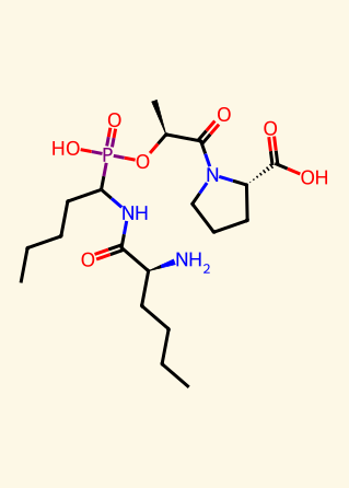 CCCCC(NC(=O)[C@@H](N)CCCC)P(=O)(O)O[C@@H](C)C(=O)N1CCC[C@H]1C(=O)O